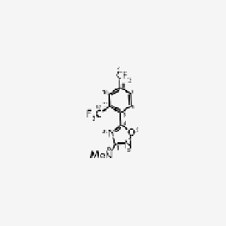 CNc1noc(-c2ccc(C(F)(F)F)cc2C(F)(F)F)n1